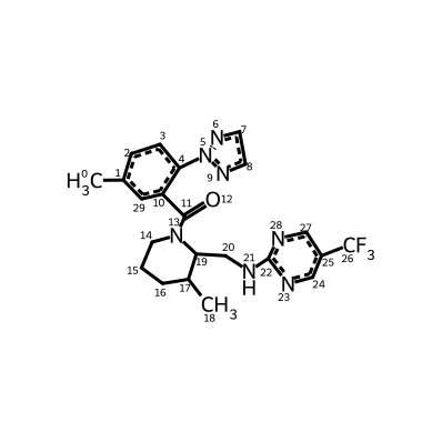 Cc1ccc(-n2nccn2)c(C(=O)N2CCCC(C)C2CNc2ncc(C(F)(F)F)cn2)c1